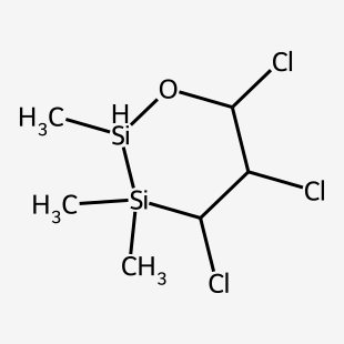 C[SiH]1OC(Cl)C(Cl)C(Cl)[Si]1(C)C